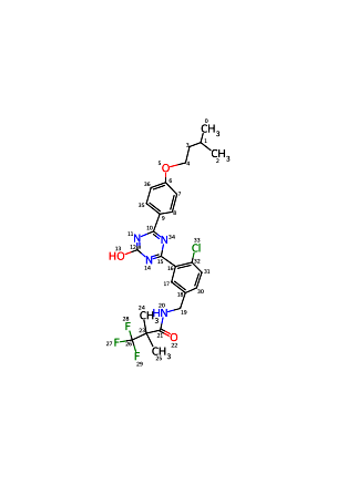 CC(C)CCOc1ccc(-c2nc(O)nc(-c3cc(CNC(=O)C(C)(C)C(F)(F)F)ccc3Cl)n2)cc1